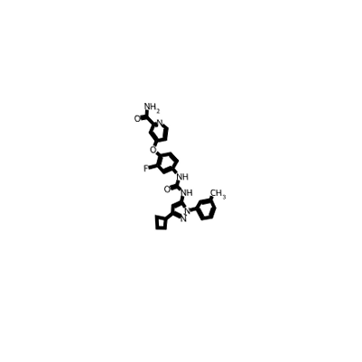 Cc1cccc(-n2nc(C3CCC3)cc2NC(=O)Nc2ccc(Oc3ccnc(C(N)=O)c3)c(F)c2)c1